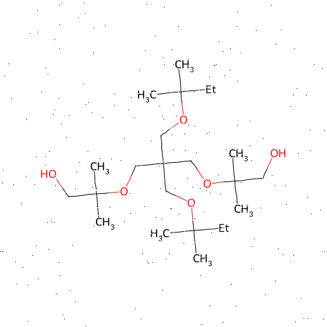 CCC(C)(C)OCC(COC(C)(C)CC)(COC(C)(C)CO)COC(C)(C)CO